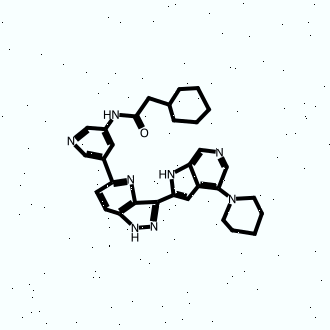 O=C(CC1CCCCC1)Nc1cncc(-c2ccc3[nH]nc(-c4cc5c(N6CCCCC6)cncc5[nH]4)c3n2)c1